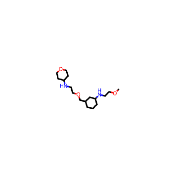 COCCNC1CCCC(COCCNC2CCOCC2)C1